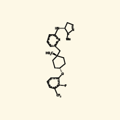 CC(C)(C)N1N=CCC1Nc1cccc(C[C@]2(C(=O)O)CC[C@H](Oc3cccc(C(F)(F)F)c3F)CC2)n1